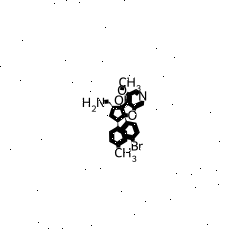 COc1cncc2c1[C@]1(O)[C@@H](CN)C[C@@H](c3ccc(C)cc3)[C@]1(c1ccc(Br)cc1)O2